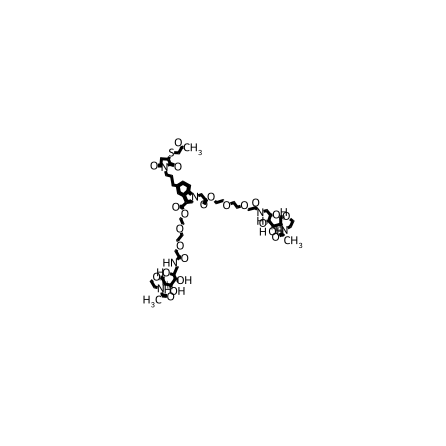 CC(=O)CSC1CC(=O)N(CCCc2ccc3c(c2)c(C(=O)OCCOCCOCC(=O)NCC2O[C@H]4OCCN(C(C)=O)[C@H]4[C@@H](O)[C@H]2O)cn3CC(=O)OCCOCCOCC(=O)NCC2O[C@H]3OCCN(C(C)=O)[C@H]3[C@@H](O)[C@H]2O)C1=O